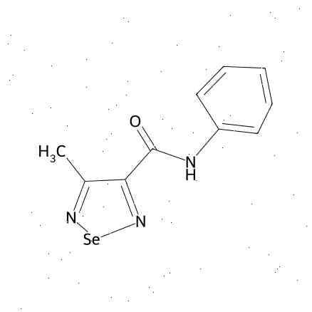 Cc1n[se]nc1C(=O)Nc1ccccc1